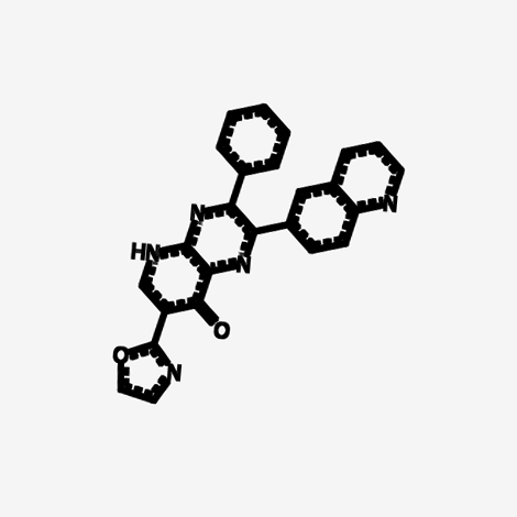 O=c1c(-c2ncco2)c[nH]c2nc(-c3ccccc3)c(-c3ccc4ncccc4c3)nc12